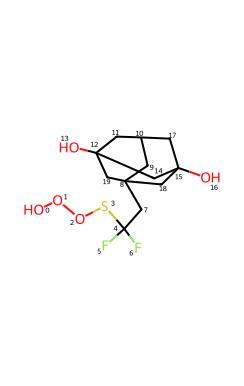 OOOSC(F)(F)CC12CC3CC(O)(CC(O)(C3)C1)C2